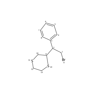 BrCC(c1ccccc1)C1CSCCS1